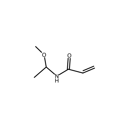 C=CC(=O)NC(C)OC